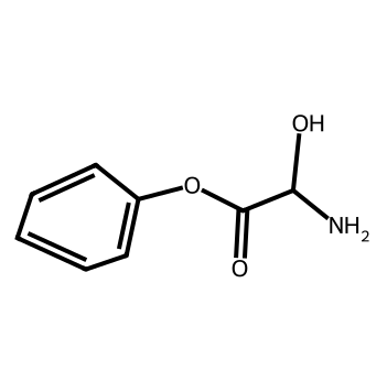 NC(O)C(=O)Oc1ccccc1